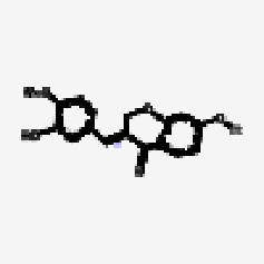 CCOc1ccc2c(c1)OC/C(=C\c1ccc(OC)c(O)c1)C2=O